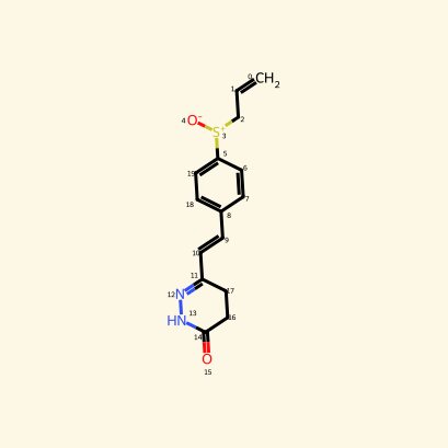 C=CC[S+]([O-])c1ccc(C=CC2=NNC(=O)CC2)cc1